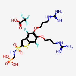 N=C(N)NCCCOc1c(OCCCNC(=N)N)c(F)c2sc(S(=O)(=O)NCP(=O)(O)O)cc2c1F.O=C(O)C(F)(F)F